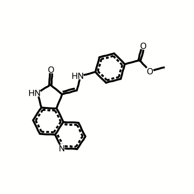 COC(=O)c1ccc(NC=C2C(=O)Nc3ccc4ncccc4c32)cc1